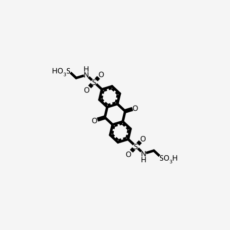 O=C1c2ccc(S(=O)(=O)NCS(=O)(=O)O)cc2C(=O)c2ccc(S(=O)(=O)NCS(=O)(=O)O)cc21